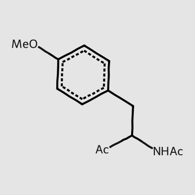 COc1ccc(CC(NC(C)=O)C(C)=O)cc1